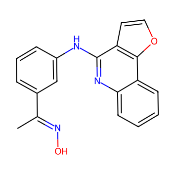 CC(=NO)c1cccc(Nc2nc3ccccc3c3occc23)c1